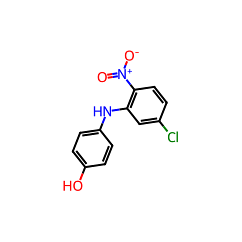 O=[N+]([O-])c1ccc(Cl)cc1Nc1ccc(O)cc1